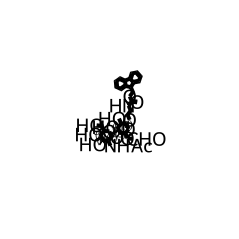 CC(=O)NC1[C@@H](O[C@@H]2C(OC=O)O[C@@H](OCCNC(=O)OCC3c4ccccc4-c4ccccc43)C(O)[C@H]2O)OC(CO)[C@@H](O)[C@@H]1O